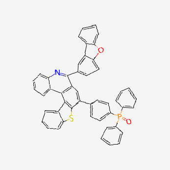 O=P(c1ccccc1)(c1ccccc1)c1ccc(-c2cc3c(-c4ccc5oc6ccccc6c5c4)nc4ccccc4c3c3c2sc2ccccc23)cc1